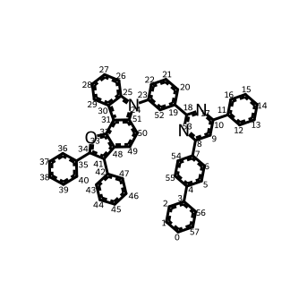 c1ccc(-c2ccc(-c3cc(-c4ccccc4)nc(-c4cccc(-n5c6ccccc6c6c7oc(-c8ccccc8)c(-c8ccccc8)c7ccc65)c4)n3)cc2)cc1